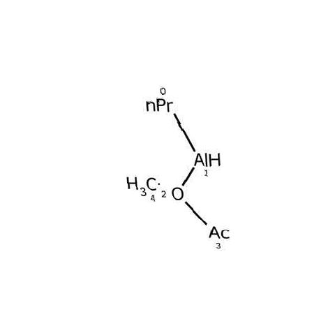 CC[CH2][AlH][O]C(C)=O.[CH3]